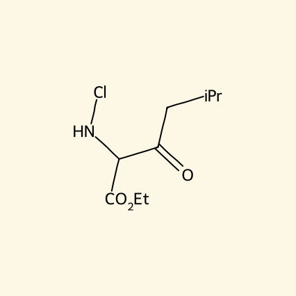 CCOC(=O)C(NCl)C(=O)CC(C)C